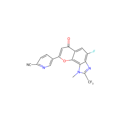 Cn1c(C(F)(F)F)nc2c(F)cc3c(=O)cc(-c4ccc(C#N)nc4)oc3c21